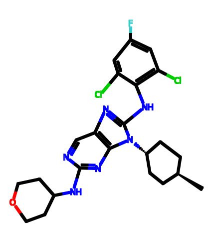 C[C@H]1CC[C@H](n2c(Nc3c(Cl)cc(F)cc3Cl)nc3cnc(NC4CCOCC4)nc32)CC1